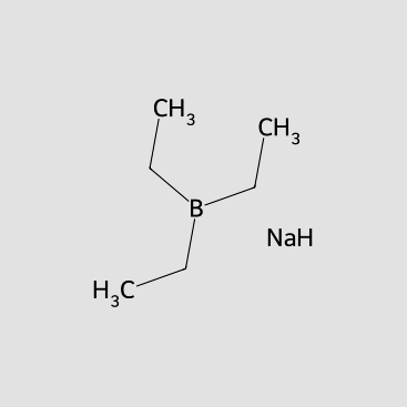 CCB(CC)CC.[NaH]